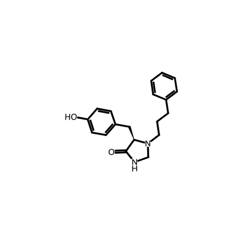 O=C1NCN(CCCc2ccccc2)[C@@H]1Cc1ccc(O)cc1